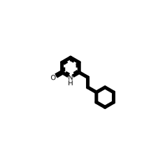 O=c1cccc(CCC2CCCCC2)[nH]1